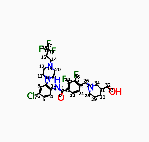 O=C(Nc1ccc(Cl)cc1N1CCN(CCC(F)(F)F)CC1)c1ccc(CN2CCCC(CO)C2)c(F)c1F